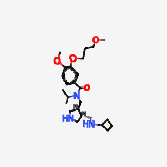 COCCCOc1cc(C(=O)N(C[C@@H]2CNC[C@H]2CNC2CCC2)C(C)C)ccc1OC